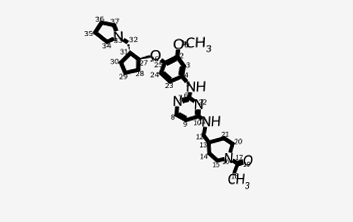 COc1cc(Nc2nccc(NCC3CCN(C(C)=O)CC3)n2)ccc1O[C@H]1CCC[C@@H]1CN1CCCC1